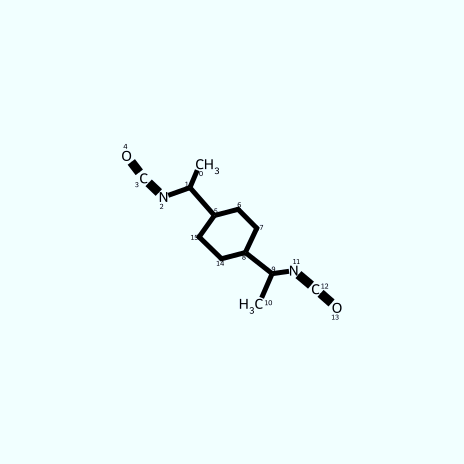 CC(N=C=O)C1CCC(C(C)N=C=O)CC1